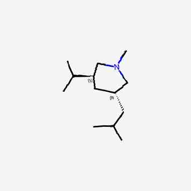 CC(C)C[C@@H]1C[C@@H](C(C)C)CN(C)C1